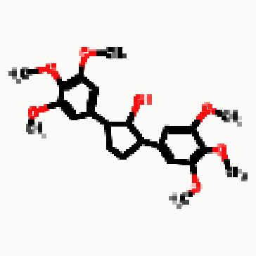 COc1cc(C2CCC(c3cc(OC)c(OC)c(OC)c3)C2O)cc(OC)c1OC